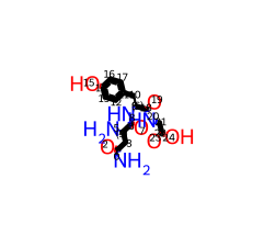 NC(=O)C[C@H](N)C(=O)N[C@@H](Cc1ccc(O)cc1)C(=O)NCC(=O)O